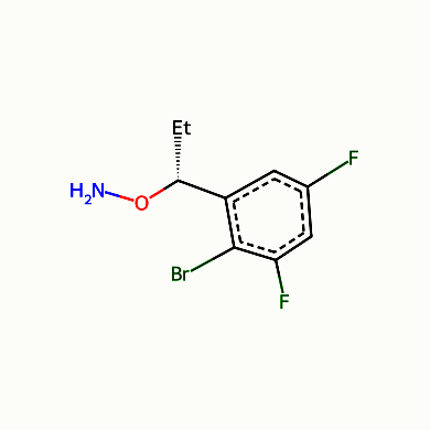 CC[C@@H](ON)c1cc(F)cc(F)c1Br